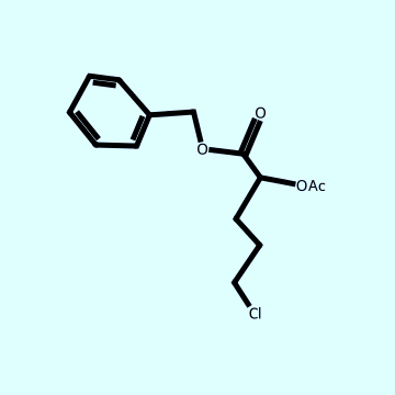 CC(=O)OC(CCCCl)C(=O)OCc1ccccc1